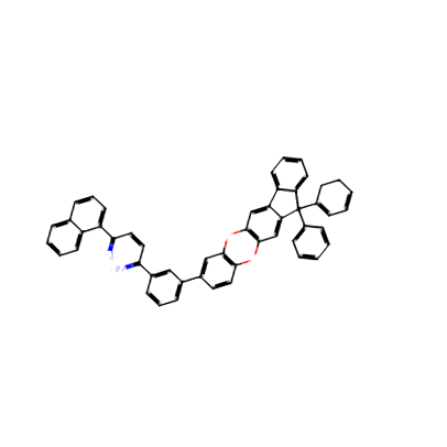 N=C(/C=C\C(=N)c1cccc2ccccc12)c1cccc(-c2ccc3c(c2)Oc2cc4c(cc2O3)C(C2=CC=CCC2)(c2ccccc2)c2ccccc2-4)c1